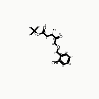 C[C@@H](CC(=O)OC(C)(C)C)C(=O)COCc1ccccc1Cl